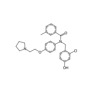 Cc1cccc(C(=O)N(Cc2ccc(O)cc2Cl)c2ccc(OCCN3CCCC3)cc2)c1